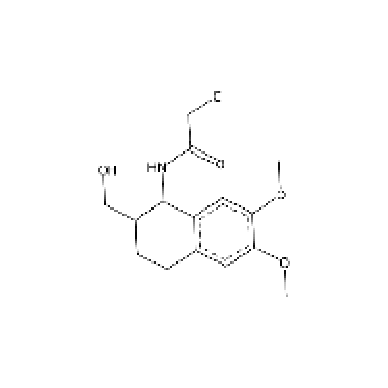 COc1cc2c(cc1OC)C(NC(=O)CCl)C(CO)CC2